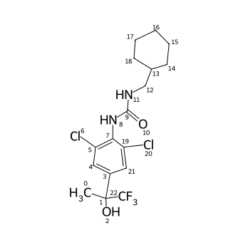 CC(O)(c1cc(Cl)c(NC(=O)NCC2CCCCC2)c(Cl)c1)C(F)(F)F